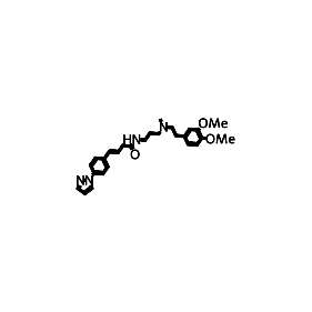 COc1ccc(CCN(C)CCCNC(=O)C/C=C/c2ccc(-n3cccn3)cc2)cc1OC